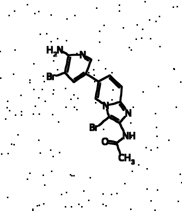 CC(=O)Nc1nc2ccc(-c3cnc(N)c(Br)c3)cn2c1Br